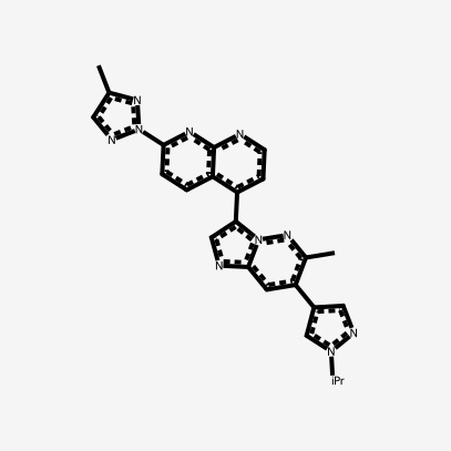 Cc1cnn(-c2ccc3c(-c4cnc5cc(-c6cnn(C(C)C)c6)c(C)nn45)ccnc3n2)n1